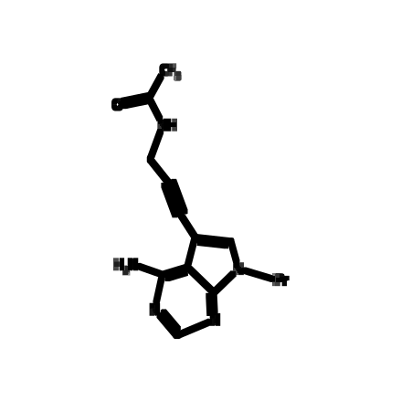 CC(C)n1cc(C#CCNC(=O)C(F)(F)F)c2c(N)ncnc21